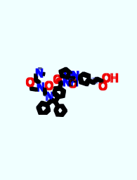 CN(C)CC1CN(C(=O)Cn2c(-c3ccccc3)c(C3CCCCC3)c3ccc(C(=O)NC4(C(=O)Nc5ccc(/C=C/C(=O)O)cc5)CCCC4)cc32)CCO1